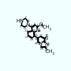 COc1cc(N2CCNCC2)c2cccc(-c3cc(F)c4nc(C)cn4c3)c2n1